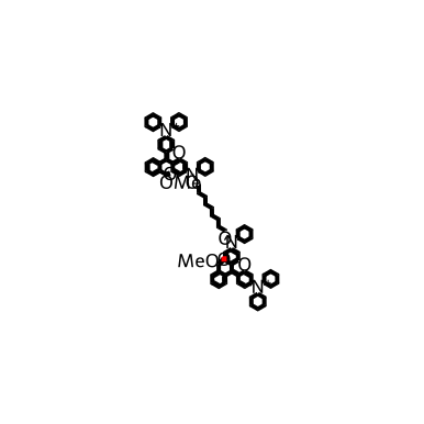 COC(=O)c1ccccc1-c1c2ccc(=[N+](C3CCCCC3)C3CCCCC3)cc-2oc2cc(N(OCCCCCCCCCON(c3ccc4c(-c5ccccc5C(=O)OC)c5ccc(=[N+](C6CCCCC6)C6CCCCC6)cc-5oc4c3)C3CCCCC3)C3CCCCC3)ccc12